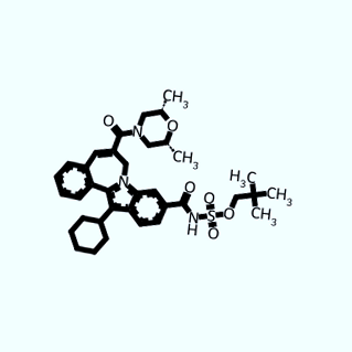 C[C@@H]1CN(C(=O)C2=Cc3ccccc3-c3c(C4CCCCC4)c4ccc(C(=O)NS(=O)(=O)OCC(C)(C)C)cc4n3C2)C[C@H](C)O1